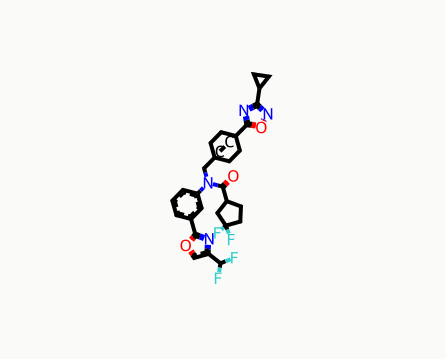 O=C(C1CCC(F)(F)C1)N(CC12CCC(c3nc(C4CC4)no3)(CC1)CC2)c1cccc(-c2nc(C(F)F)co2)c1